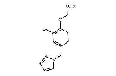 CCOC(=O)COc1ccc(Cn2cccn2)cc1Cl